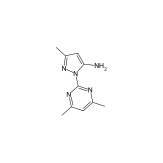 Cc1cc(C)nc(-n2nc(C)cc2N)n1